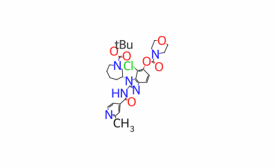 Cc1cc(C(=O)Nc2nc3ccc(OC(=O)N4CCOCC4)c(Cl)c3n2[C@@H]2CCCCN(C(=O)OC(C)(C)C)C2)ccn1